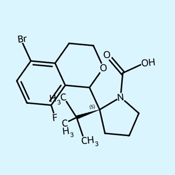 CC(C)(C)[C@]1(C2OCCc3c(Br)ccc(F)c32)CCCN1C(=O)O